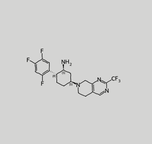 N[C@H]1C[C@@H](N2CCc3cnc(C(F)(F)F)nc3C2)CC[C@@H]1c1cc(F)c(F)cc1F